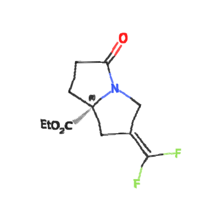 CCOC(=O)[C@]12CCC(=O)N1CC(=C(F)F)C2